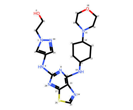 OCCn1cc(Nc2nc(NC3CCC(N4CCOCC4)CC3)c3ncsc3n2)cn1